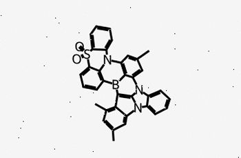 Cc1cc2c3c(c1)-n1c4ccccc4n4c5cc(C)cc(C)c5c(c14)B3c1cccc3c1N2c1ccccc1S3(=O)=O